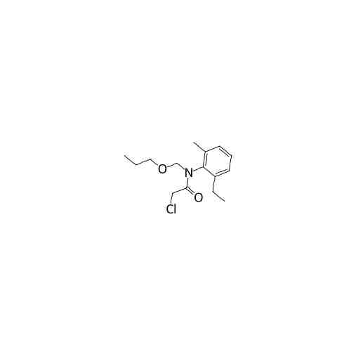 CCCOCN(C(=O)CCl)c1c(C)cccc1CC